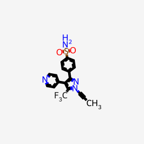 CC#Cn1nc(-c2ccc(S(N)(=O)=O)cc2)c(-c2ccncc2)c1C(F)(F)F